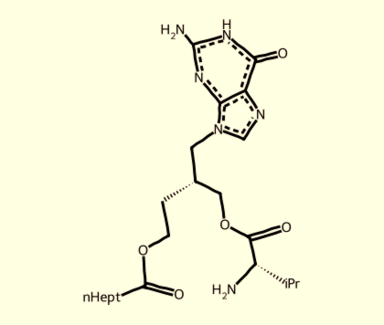 CCCCCCCC(=O)OCC[C@@H](COC(=O)[C@@H](N)C(C)C)Cn1cnc2c(=O)[nH]c(N)nc21